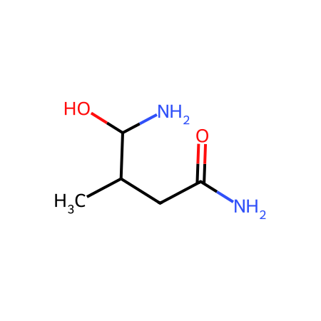 CC(CC(N)=O)C(N)O